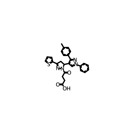 Cc1ccc(-c2nn(-c3ccccc3)cc2C2CC(c3cccs3)=NN2C(=O)CCC(=O)O)cc1